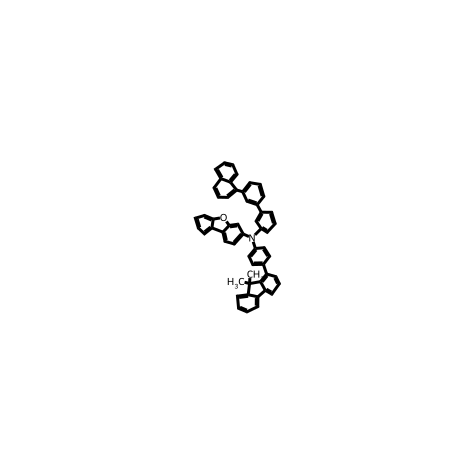 CC1(C)c2ccccc2-c2cccc(-c3ccc(N(c4cccc(-c5cccc(-c6cccc7ccccc67)c5)c4)c4ccc5c(c4)oc4ccccc45)cc3)c21